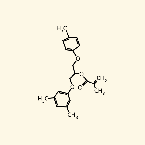 C=C(C)C(=O)OC(COc1ccc(C)cc1)COc1cc(C)cc(C)c1